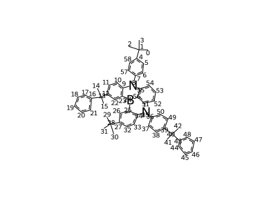 CC(C)(C)c1ccc(N2c3ccc(C(C)(C)c4ccccc4)cc3B3c4cc(C(C)(C)C)ccc4N(c4ccc(C(C)(C)c5ccccc5)cc4)c4cccc2c43)cc1